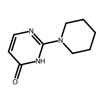 O=c1ccnc(N2CCCCC2)[nH]1